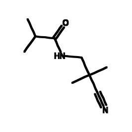 CC(C)C(=O)NCC(C)(C)C#N